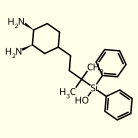 CC(C)(CCC1CC[C@H](N)[C@H](N)C1)[Si](O)(c1ccccc1)c1ccccc1